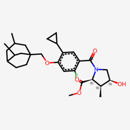 COC(=O)[C@@H]1[C@H](C)[C@H](O)CN1C(=O)c1cc(C2CC2)c(OCC23CCC(CC(C)C2)C(C)C3)cc1F